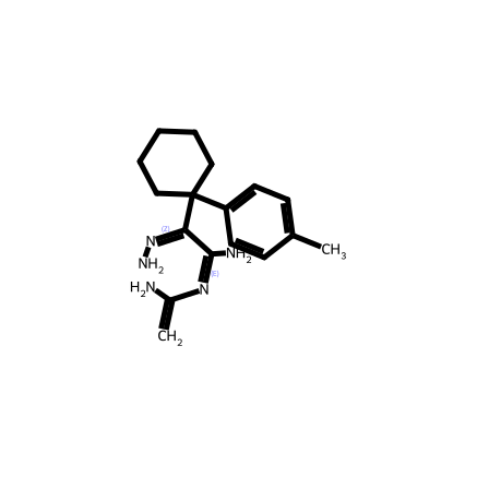 C=C(N)/N=C(N)\C(=N/N)C1(c2ccc(C)cc2)CCCCC1